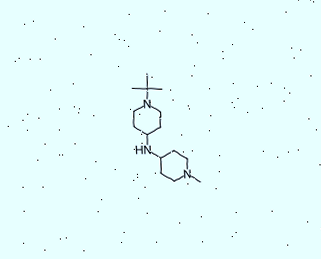 CN1CCC(NC2CCN(C(C)(C)C)CC2)CC1